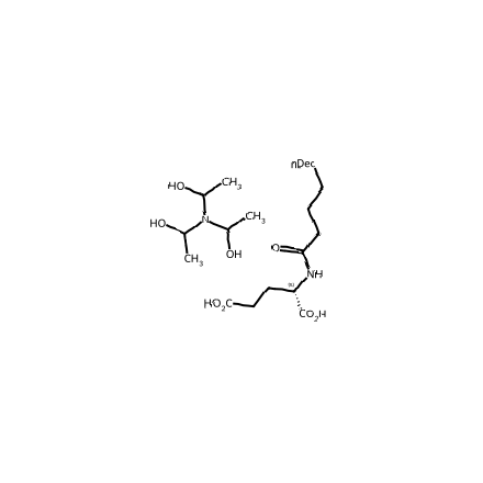 CC(O)N(C(C)O)C(C)O.CCCCCCCCCCCCCC(=O)N[C@@H](CCC(=O)O)C(=O)O